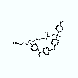 COc1ccc(C(C)(CCC(=O)OCCOCCOCCC#N)c2ccc(Oc3ccc(C(=O)c4ccc(C)cc4)cc3)cc2)cc1